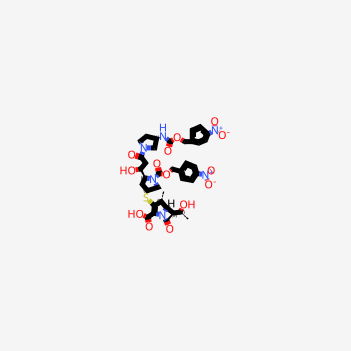 C[C@@H](O)[C@H]1C(=O)N2C(C(=O)O)=C(S[C@H]3C[C@@H](C(O)CC(=O)N4CC[C@H](NC(=O)OCc5ccc([N+](=O)[O-])cc5)C4)N(C(=O)OCc4ccc([N+](=O)[O-])cc4)C3)[C@H](C)[C@H]12